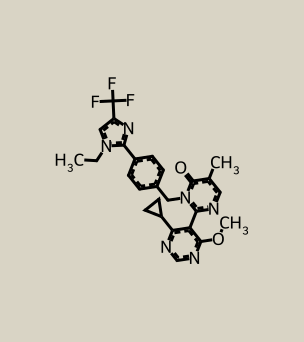 CCn1cc(C(F)(F)F)nc1-c1ccc(Cn2c(-c3c(OC)ncnc3C3CC3)ncc(C)c2=O)cc1